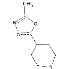 Cc1nnc(C2CC[N]CC2)o1